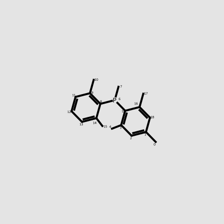 Cc1cc(C)c(P(C)c2c(C)cccc2C)c(C)c1